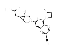 C[C@H]1CCN1c1nc(N2C[C@@H]3C(CC(=O)O)[C@@H]3C2)cc2nc(C#N)cnc12